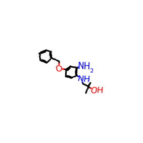 CC(C)(O)CNc1ccc(OCc2ccccc2)cc1N